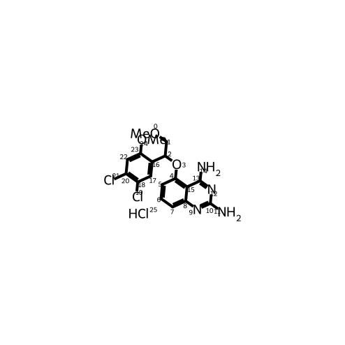 COCC(Oc1cccc2nc(N)nc(N)c12)c1cc(Cl)c(Cl)cc1OC.Cl